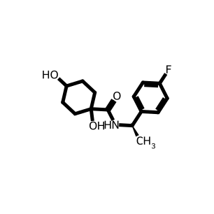 C[C@@H](NC(=O)C1(O)CCC(O)CC1)c1ccc(F)cc1